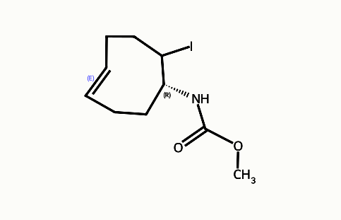 COC(=O)N[C@@H]1CC/C=C/CCC1I